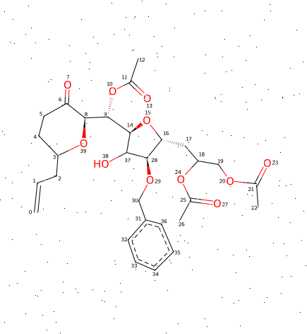 C=CCC1CCC(=O)[C@@H]([C@H](OC(C)=O)[C@H]2O[C@H](CC(COC(C)=O)OC(C)=O)[C@@H](OCc3ccccc3)C2O)O1